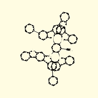 N#Cc1c(-n2c3ccccc3c3ccccc32)c(-n2c3ccc(-c4ccccc4)cc3c3cc4c(cc32)sc2ccccc24)cc(-n2c3ccc(-c4ccccc4)cc3c3cc4c(cc32)sc2ccccc24)c1-n1c2ccccc2c2ccccc21